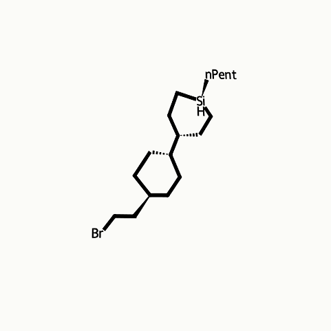 CCCCC[Si@H]1CC[C@H]([C@H]2CC[C@H](CCBr)CC2)CC1